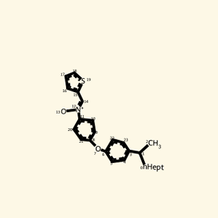 CCCCCCCC(C)c1ccc(Oc2ccc([N+]([O-])=Cc3cccs3)cc2)cc1